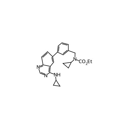 CCOC(=O)N(Cc1cccc(-c2ccc3ncnc(NC4CC4)c3c2)c1)C1CC1